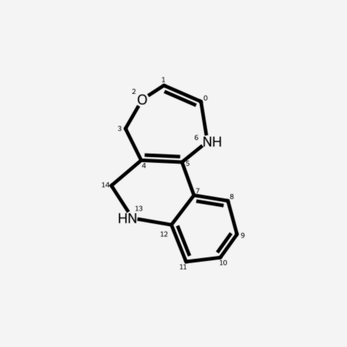 C1=COCC2=C(N1)c1ccccc1NC2